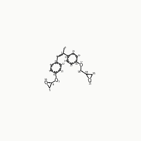 CC(=Cc1ccc(OC2CO2)cc1)c1ccc(OCC2CO2)cc1